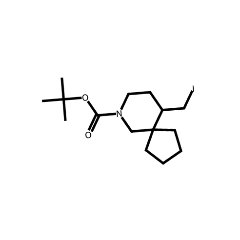 CC(C)(C)OC(=O)N1CCC(CI)C2(CCCC2)C1